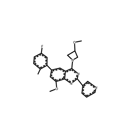 COc1cc(-c2cc(F)ccc2C)cc2c(N3CC(OC)C3)nc(-c3cccnc3)nc12